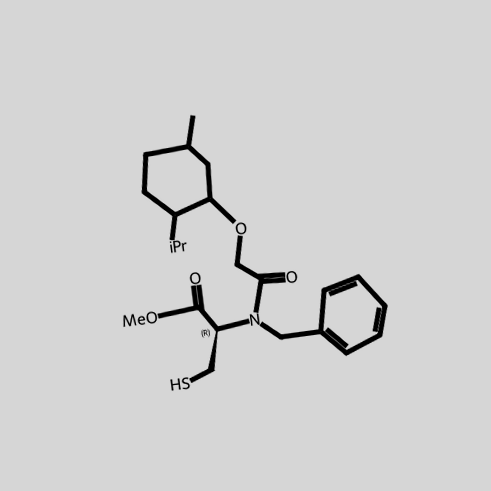 COC(=O)[C@H](CS)N(Cc1ccccc1)C(=O)COC1CC(C)CCC1C(C)C